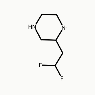 FC(F)CC1CNCC[N]1